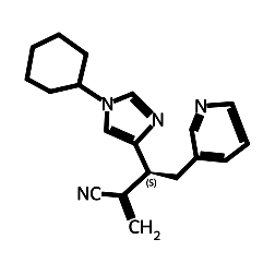 C=C(C#N)[C@H](Cc1cccnc1)c1cn(C2CCCCC2)cn1